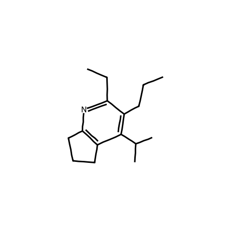 CCCc1c(CC)nc2c(c1C(C)C)CCC2